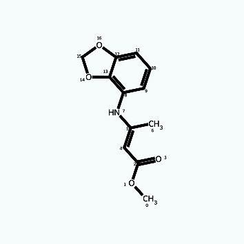 COC(=O)/C=C(\C)Nc1cccc2c1OCO2